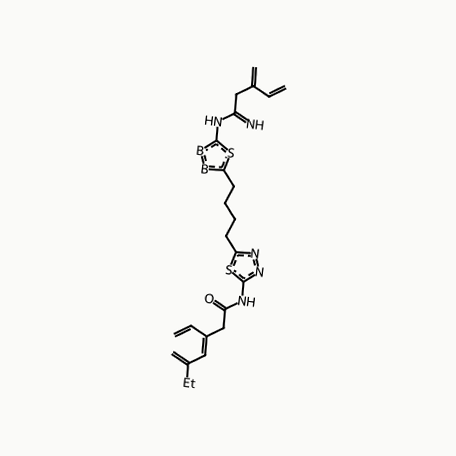 C=CC(=C)CC(=N)Nc1bbc(CCCCc2nnc(NC(=O)C/C(C=C)=C/C(=C)CC)s2)s1